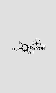 N#C[C@]1(CO)O[C@@H](n2cc(F)c(N)nc2=O)[C@@H](F)[C@@H]1O